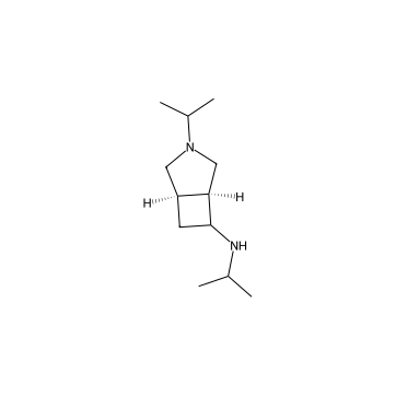 CC(C)NC1C[C@H]2CN(C(C)C)C[C@@H]12